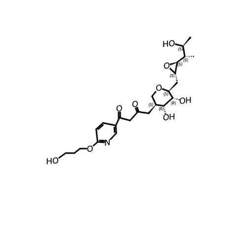 C[C@H]([C@@H]1O[C@H]1C[C@@H]1OC[C@H](CC(=O)CC(=O)c2ccc(OCCCO)nc2)[C@@H](O)[C@H]1O)[C@H](C)O